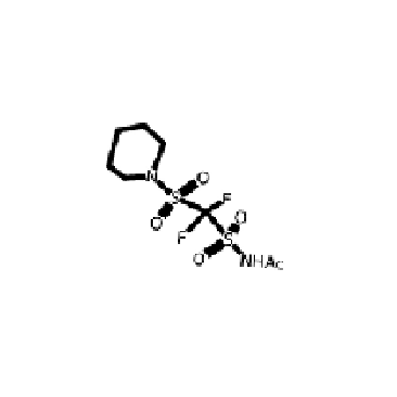 CC(=O)NS(=O)(=O)C(F)(F)S(=O)(=O)N1CCCCC1